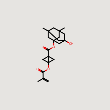 C=C(C)C(=O)OC12CC1(C(=O)OC13CC4(C)CC(C)(CC(O)(C4)C1)C3)C2